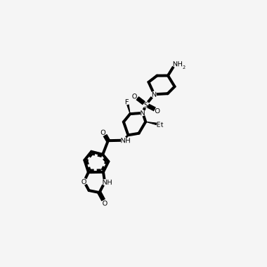 CC[C@H]1C[C@@H](NC(=O)c2ccc3c(c2)NC(=O)CO3)C[C@@H](F)N1S(=O)(=O)N1CCC(N)CC1